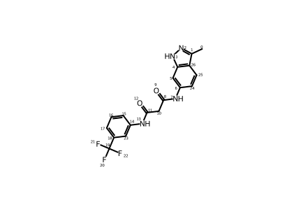 Cc1n[nH]c2cc(NC(=O)CC(=O)Nc3cccc(C(F)(F)F)c3)ccc12